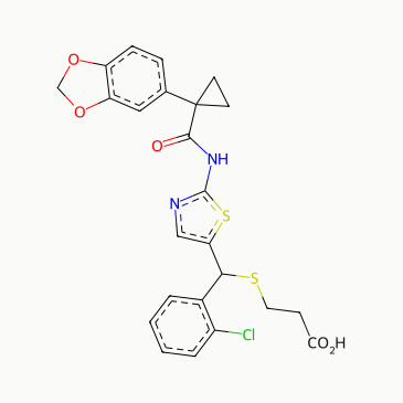 O=C(O)CCSC(c1cnc(NC(=O)C2(c3ccc4c(c3)OCO4)CC2)s1)c1ccccc1Cl